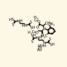 COCC(=O)N(c1c(C)cccc1C)C(C)C(=O)OC.S=C(S)NCCNC(=S)S.S=C(S)NCCNC(=S)S.[Au].[Mn].[Zn]